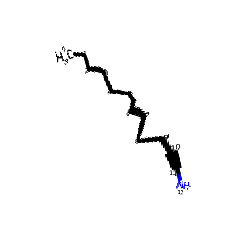 CCCCCCCCCCC#C[NH]